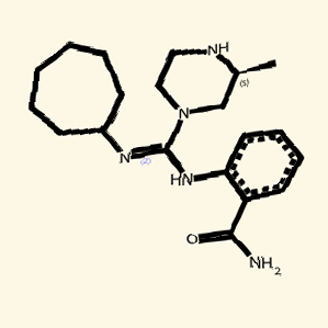 C[C@H]1CN(/C(=N\C2CCCCCC2)Nc2ccccc2C(N)=O)CCN1